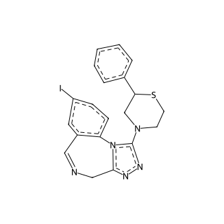 Ic1ccc2c(c1)C=NCc1nnc(N3CCSC(c4ccccc4)C3)n1-2